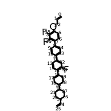 C=CCOc1ccc(-c2ccc(-c3ccc(C4=CCC(C5CCC(C=C)CC5)CC4)c(F)c3)cc2)c(F)c1F